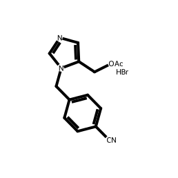 Br.CC(=O)OCc1cncn1Cc1ccc(C#N)cc1